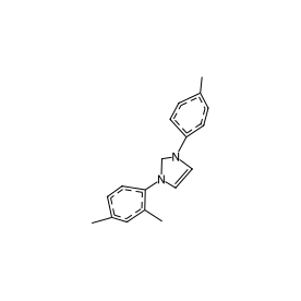 Cc1ccc(N2C=CN(c3ccc(C)cc3C)C2)cc1